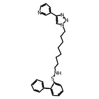 c1ccc(-c2ccccc2SNCCCCCCCCn2cc(-c3cccnc3)nn2)cc1